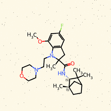 COc1cc(F)cc2c1N(CCN1CCOCC1)C(C)(C(=O)N[C@@H]1C(C)(C)C3CC[C@@]1(C)C3)C2